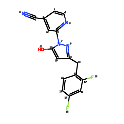 N#Cc1ccnc(-n2nc(Cc3ccc(F)cc3F)cc2O)c1